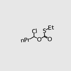 CCCC(Cl)OC(=O)SCC